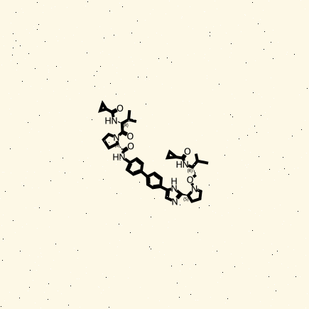 CC(C)[C@H](CON1CCC[C@H]1c1ncc(-c2ccc(-c3ccc(NC(=O)[C@@H]4CCCN4C(=O)[C@H](NC(=O)C4CC4)C(C)C)cc3)cc2)[nH]1)NC(=O)C1CC1